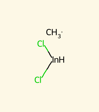 [CH3].[Cl][InH][Cl]